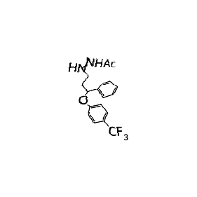 CC(=O)NNCCC(Oc1ccc(C(F)(F)F)cc1)c1ccccc1